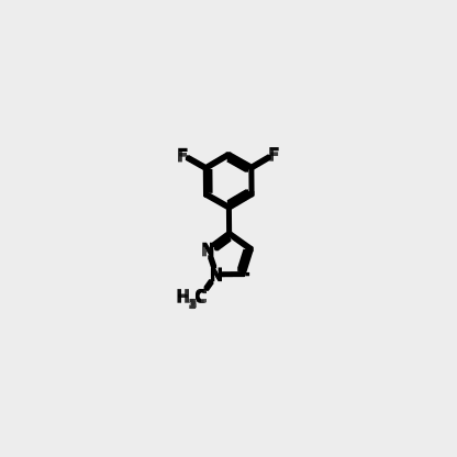 Cn1[c]cc(-c2cc(F)cc(F)c2)n1